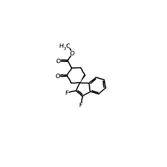 COC(=O)C1CC[C@]2(CC1=O)C(F)=C(F)c1ccccc12